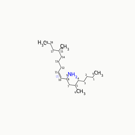 CCCCCC(C)CC(N)/C=C\CCCC(C)CCC